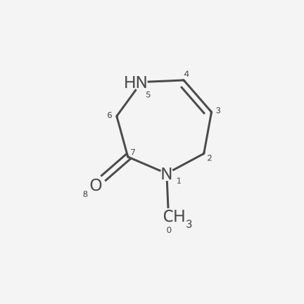 CN1CC=CNCC1=O